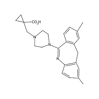 Cc1ccc2c(c1)Cc1cc(C)ccc1C(N1CCN(CC3(C(=O)O)CC3)CC1)=N2